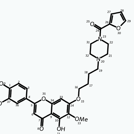 COc1ccc(-c2cc(=O)c3c(O)c(OC)c(OCCCCN4CCN(C(=O)c5ccco5)CC4)cc3o2)cc1OC